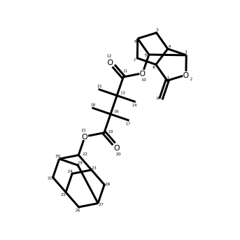 C=C1OC2C3CC(CC13)C2OC(=O)C(C)(C)C(C)(C)C(=O)OC1C2CC3CC(C2)CC1C3